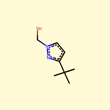 CC(C)(C)c1ccn(CS)n1